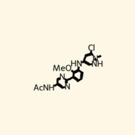 COc1c(NC2=CNN(C)C(Cl)=C2)cccc1-c1ncc(NC(C)=O)cn1